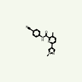 Cc1ccc(-c2cnn(C)c2)nc1C(=O)Nc1ccc(C#N)cc1